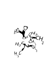 CN(C)C.CN(C)C.O=C(O)O